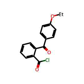 CCOc1ccc(C(=O)c2ccccc2C(=O)Cl)cc1